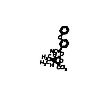 CC1(C)[C@@H]2[C@H](O[C@@H](C#N)c3cccc(Oc4ccccc4)c3)O[C@@H](C(Cl)(Cl)Cl)[C@@H]21